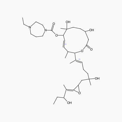 CCC(O)C(C)=C1OC1CC(C)(O)CC/C=C(\C)C1OC(=O)CC(O)CCC(C)(O)C(OC(=O)N2CCCN(CC)CC2)/C=C/C1C